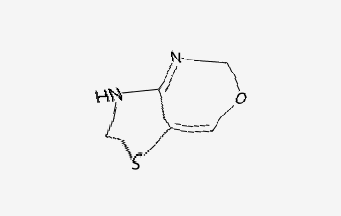 C1=C2SCNC2=NCO1